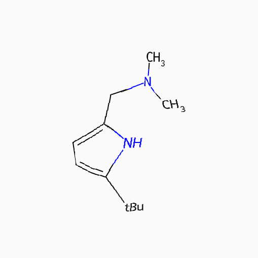 CN(C)Cc1ccc(C(C)(C)C)[nH]1